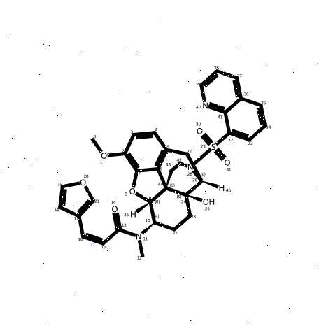 COc1ccc2c3c1O[C@H]1[C@H](N(C)C(=O)/C=C\c4ccoc4)CC[C@@]4(O)[C@@H](C2)N(S(=O)(=O)c2cccc5cccnc25)CC[C@]314